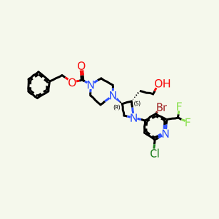 O=C(OCc1ccccc1)N1CCN([C@@H]2CN(c3cc(Cl)nc(C(F)F)c3Br)[C@H]2CCO)CC1